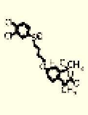 CN1C(=O)OC(C)(C)c2cc(OCCCC[S+]([O-])c3ccc(Cl)c(Cl)c3)ccc21